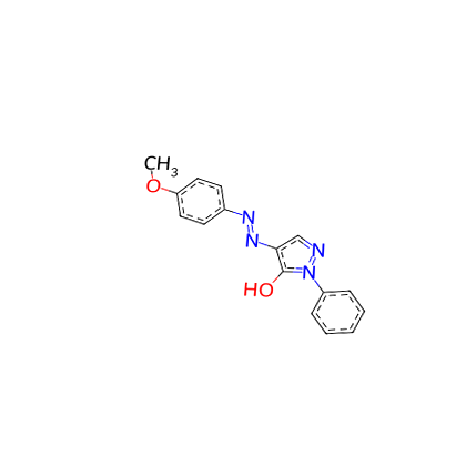 COc1ccc(/N=N/c2cnn(-c3ccccc3)c2O)cc1